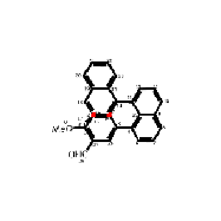 COc1ccc(-c2cccc3cccc(-c4c[n+]([O-])cc5ccccc45)c23)cc1C=O